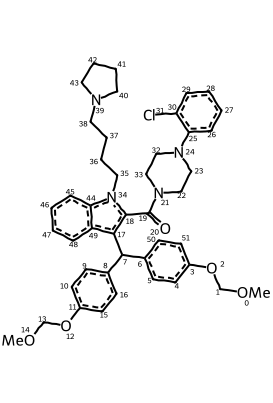 COCOc1ccc(C(c2ccc(OCOC)cc2)c2c(C(=O)N3CCN(c4ccccc4Cl)CC3)n(CCCCN3CCCC3)c3ccccc23)cc1